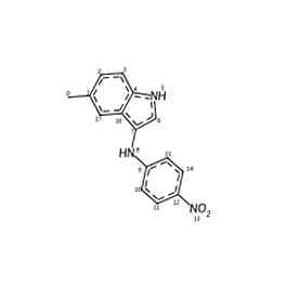 Cc1ccc2[nH]cc(Nc3ccc([N+](=O)[O-])cc3)c2c1